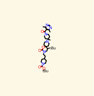 CCCCC1CN(CCC2CCN(C(=O)OC(C)(C)C)CC2)C(=O)OC12CCN(C1(C)CCN(C(=O)c3c(C)ncnc3C)CC1)CC2